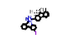 CC1(C)c2ccccc2-c2ccc(-c3nnc4c5ccccc5c5cc(I)ccc5n34)cc21